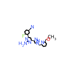 COCc1cccc(Cn2cc(-c3cc(-c4cc(C#N)ccc4F)nc(N)n3)nn2)n1